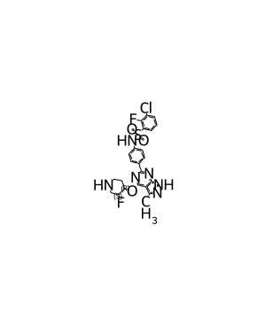 Cc1n[nH]c2nc(-c3ccc(NS(=O)(=O)c4cccc(Cl)c4F)cc3)nc(O[C@@H]3CCNC[C@@H]3F)c12